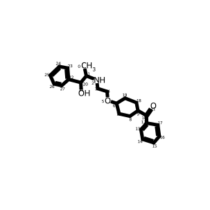 CC(NCCOC1CCC(C(=O)c2ccccc2)CC1)C(O)c1ccccc1